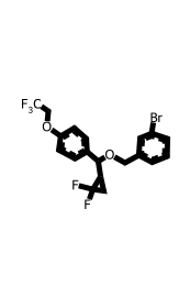 FC(F)(F)COc1ccc(C(OCc2cccc(Br)c2)C2CC2(F)F)cc1